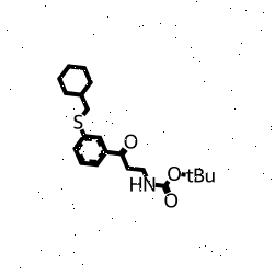 CC(C)(C)OC(=O)NCCC(=O)c1cccc(SCC2CCCCC2)c1